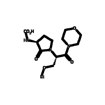 CCOC[C@@H](C(=O)N1CCOCC1)N1CC[C@H](NC(=O)O)C1=O